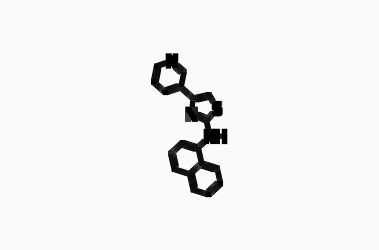 c1cncc(-c2csc(Nc3cccc4ccccc34)n2)c1